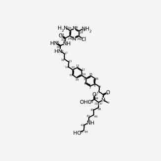 CN(C(=O)CCc1ccc(-c2ccc(CCCCNC(=N)NC(=O)c3nc(Cl)c(N)nc3N)cc2)cc1)[C@@H](CCCCNCCO)C(=O)C=O